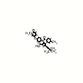 Cn1nc(O[C@H]2CC[C@@H](N(c3cc(C#CC(C)(C)C)sc3C(=O)O)C(=O)[C@H]3CC[C@H](C)CC3)CC2)ccc1=O